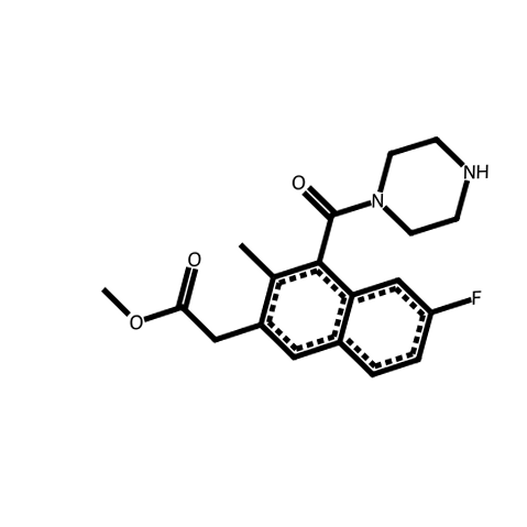 COC(=O)Cc1cc2ccc(F)cc2c(C(=O)N2CCNCC2)c1C